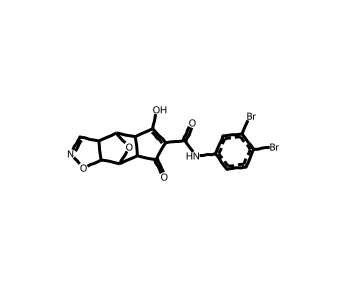 O=C(Nc1ccc(Br)c(Br)c1)C1=C(O)C2C3OC(C4ON=CC43)C2C1=O